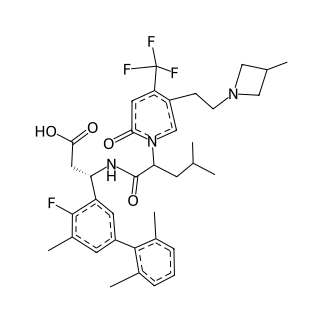 Cc1cc(-c2c(C)cccc2C)cc([C@H](CC(=O)O)NC(=O)C(CC(C)C)n2cc(CCN3CC(C)C3)c(C(F)(F)F)cc2=O)c1F